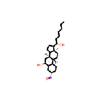 CCCCCC[C@H](O)C1CCC2[C@@H]3C[C@H](O)C4C[C@@H](N=O)CC[C@]4(C)[C@H]3CC[C@]12C